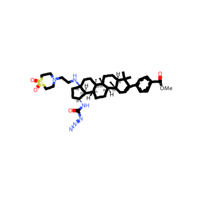 COC(=O)c1ccc(C2=CC[C@]3(C)[C@H]4CC[C@@H]5[C@H]6[C@H](NC(=O)N=[N+]=[N-])CC[C@]6(NCCN6CCS(=O)(=O)CC6)CC[C@@]5(C)[C@]4(C)CC[C@H]3C2(C)C)cc1